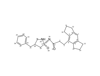 O=C(CCc1c2c(cc3c1CCC3)CCC2)N=S1(=O)CC(Cc2ccccc2)CN1